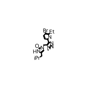 CCc1nc(-c2nnn(C)c2Cn2cc(CC(C)C)[nH]c2=O)ccc1Br